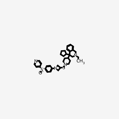 CCN1Cc2ccccc2C(C2CCCC2)(C2CCN(SC3CN(c4ccc([S+]([O-])c5ccncc5)cc4)C3)CC2)C1